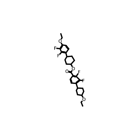 CCOc1ccc(C2CCC(OC(=O)c3ccc(C4CCC(OCC)CC4)c(F)c3F)CC2)c(F)c1F